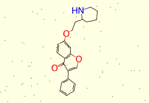 O=c1c(-c2ccccc2)coc2cc(OCCC3CCCCN3)ccc12